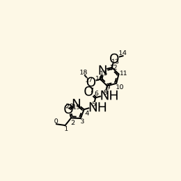 CCc1cc(NC(=O)Nc2ccc(OC)nc2OC)no1